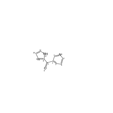 O=C(c1cccnc1)c1ncc[nH]1